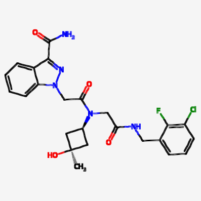 C[C@]1(O)C[C@@H](N(CC(=O)NCc2cccc(Cl)c2F)C(=O)Cn2nc(C(N)=O)c3ccccc32)C1